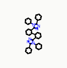 c1ccc(-c2nnc(-c3ccccc3-c3ccccc3-c3nnc(-c4ccccc4)n3-c3ccccc3)n2-c2ccccc2)cc1